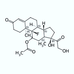 CC(=O)OC1C[C@@]2(C)[C@@H](CC[C@]2(O)C(=O)CO)[C@@H]2CCC3=CC(=O)CC[C@]3(C)[C@@]12F